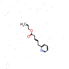 C=CCOC(=O)CC=CCc1ccccn1